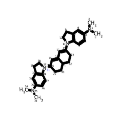 CN(C)c1ccc2c(c1)CCN2C1=CC2=C/C(=[N+]3\CCc4cc(N(C)C)ccc43)CCC2CC1